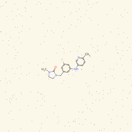 Cc1ccc(Nc2cc(F)cc(CN3CCN(C)C3=O)c2)cn1